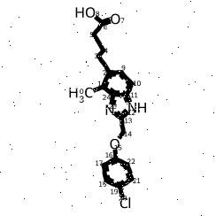 Cc1c(CCCC(=O)O)ccc2[nH]c(COc3ccc(Cl)cc3)nc12